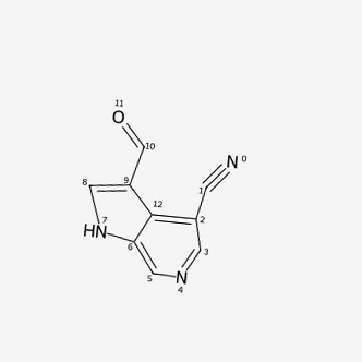 N#Cc1cncc2[nH]cc(C=O)c12